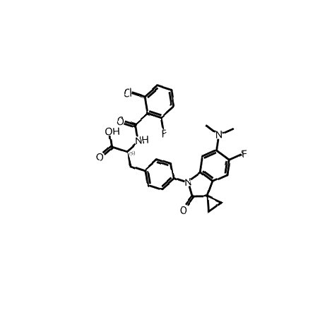 CN(C)c1cc2c(cc1F)C1(CC1)C(=O)N2c1ccc(C[C@H](NC(=O)c2c(F)cccc2Cl)C(=O)O)cc1